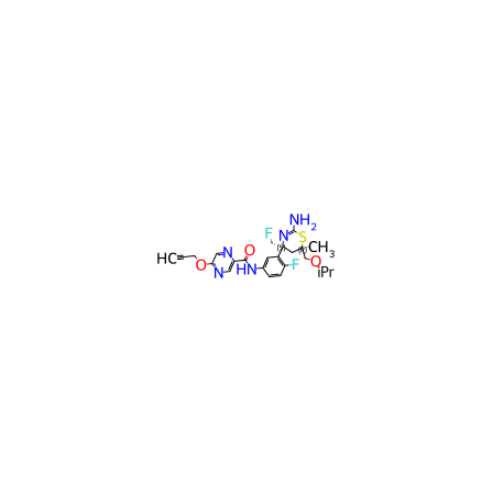 C#CCOc1cnc(C(=O)Nc2ccc(F)c([C@]3(CF)C[C@](C)(COC(C)C)SC(N)=N3)c2)cn1